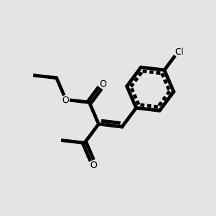 CCOC(=O)C(=Cc1ccc(Cl)cc1)C(C)=O